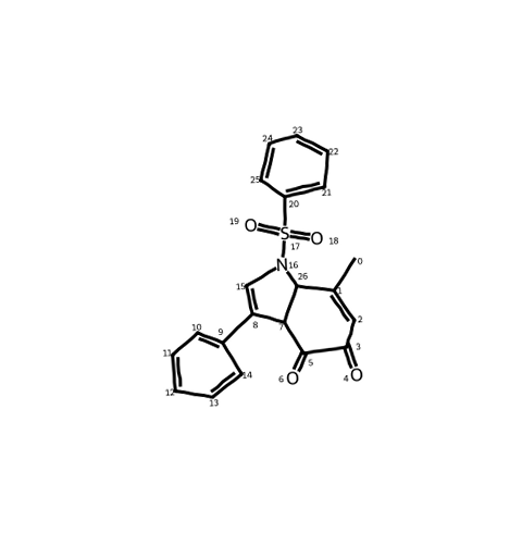 CC1=CC(=O)C(=O)C2C(c3ccccc3)=CN(S(=O)(=O)c3ccccc3)C12